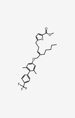 CCCCCC(=CCCc1ccc(C(=O)OC)s1)COc1cc(C)c(-c2ccc(C(F)(F)F)cc2)c(C)c1